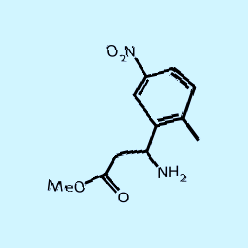 COC(=O)CC(N)c1cc([N+](=O)[O-])ccc1C